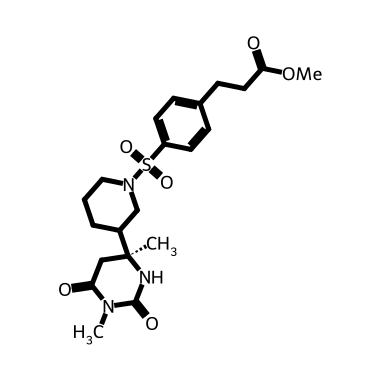 COC(=O)CCc1ccc(S(=O)(=O)N2CCCC([C@]3(C)CC(=O)N(C)C(=O)N3)C2)cc1